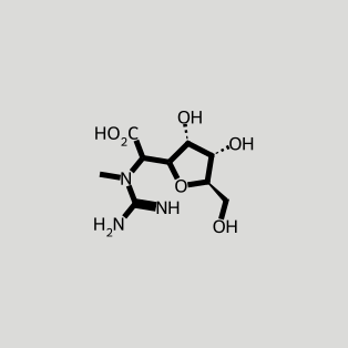 CN(C(=N)N)C(C(=O)O)C1O[C@H](CO)[C@@H](O)[C@H]1O